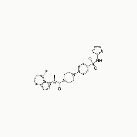 C[C@@H](C(=O)N1CCN(c2ccc(S(=O)(=O)Nc3nccs3)cc2)CC1)n1ccc2cccc(F)c21